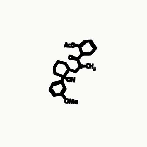 COc1cccc(C2(O)CCCCC2CN(C)C(=O)c2ccccc2OC(C)=O)c1